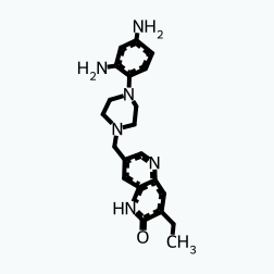 CCc1cc2ncc(CN3CCN(c4ccc(N)cc4N)CC3)cc2[nH]c1=O